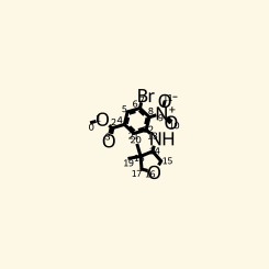 COC(=O)c1cc(Br)c([N+](=O)[O-])c(NC2COCC2(C)C)c1